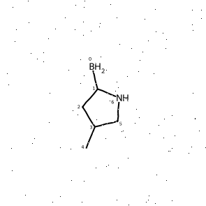 BC1CC(C)CN1